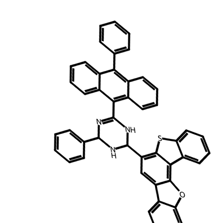 c1ccc(-c2c3ccccc3c(C3=NC(c4ccccc4)NC(c4cc5c6ccccc6oc5c5c4sc4ccccc45)N3)c3ccccc23)cc1